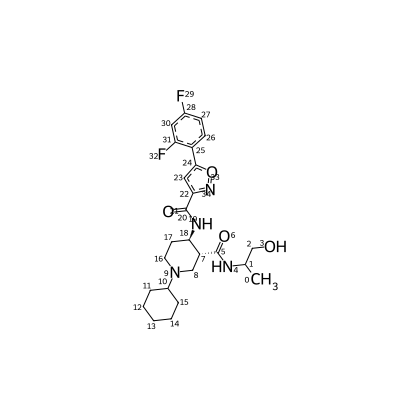 CC(CO)NC(=O)[C@@H]1CN(C2CCCCC2)CC[C@H]1NC(=O)c1cc(-c2ccc(F)cc2F)on1